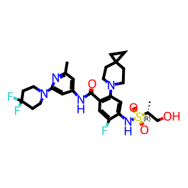 Cc1cc(NC(=O)c2cc(F)c(NS(=O)(=O)[C@H](C)CO)cc2N2CCC3(CC2)CC3)cc(N2CCC(F)(F)CC2)n1